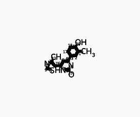 Cc1cc(-c2cc(-c3scnc3C)[nH]c(=O)n2)ccc1O